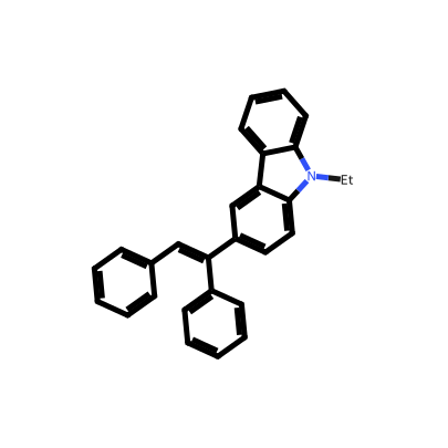 CCn1c2ccccc2c2cc(C(=Cc3ccccc3)c3ccccc3)ccc21